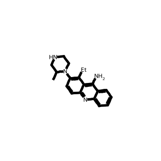 CCc1c(N2CCNCC2C)ccc2nc3ccccc3c(N)c12